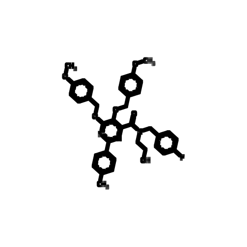 COc1ccc(COc2nc(-c3ccc(C)cc3)nc(C(=O)N(CCO)Cc3ccc(F)cc3)c2OCc2ccc(OC)cc2)cc1